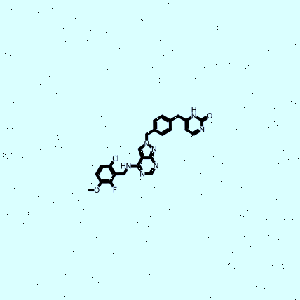 COc1ccc(Cl)c(CNc2ncnc3nn(Cc4ccc(Cc5ccnc(=O)[nH]5)cc4)cc23)c1F